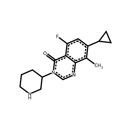 Cc1c(C2CC2)cc(F)c2c(=O)n(C3CCCNC3)cnc12